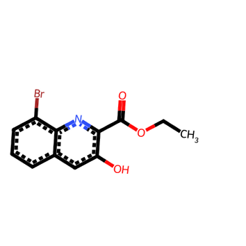 CCOC(=O)c1nc2c(Br)cccc2cc1O